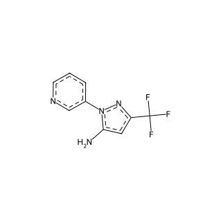 Nc1cc(C(F)(F)F)nn1-c1cccnc1